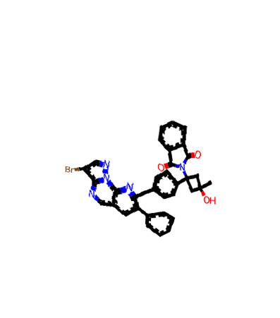 CC1(O)CC(c2ccc(-c3nc4c(cnc5c(Br)cnn54)cc3-c3ccccc3)cc2)(N2C(=O)c3ccccc3C2=O)C1